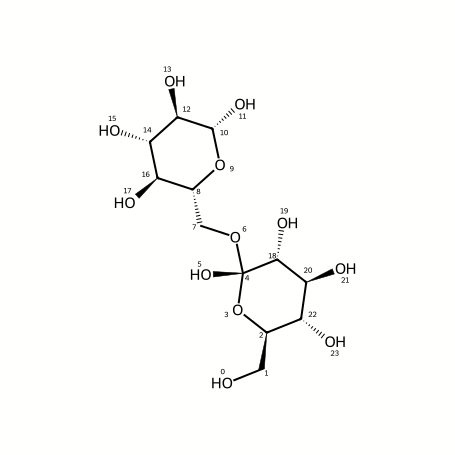 OC[C@H]1O[C@](O)(OC[C@H]2O[C@@H](O)[C@H](O)[C@@H](O)[C@@H]2O)[C@H](O)[C@@H](O)[C@@H]1O